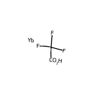 O=C(O)C(F)(F)F.[Yb]